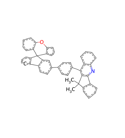 CC1(C)c2ccccc2-c2nc3ccccc3c(-c3ccc(-c4ccc5c(c4)C4(c6ccccc6Oc6ccccc64)c4ccccc4-5)cc3)c21